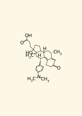 C[C@H]1C[C@@H]2C(=C3CCC(=O)C=C31)[C@@H](c1ccc(N(C)C)cc1)C[C@@]1(C)[C@H]2CC[C@@]1(O)CCC(=O)O